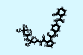 CC(C)(CCNC(=O)c1[nH]cnc1C(=O)Nc1ccc(NC(=O)c2ccccc2Cl)cc1)NC(=O)OC(C)(C)C